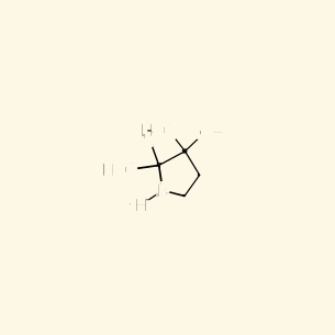 [2H]B1CCC(C)(C)C1(C)C